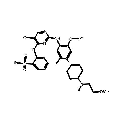 COCCN(C)[C@H]1CC[C@H](c2cc(OC(C)C)c(Nc3ncc(Cl)c(Nc4ccccc4S(=O)(=O)C(C)C)n3)cc2C)CC1